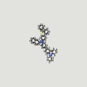 c1ccc(-n2c3ccccc3c3cc(-c4ccc(N(c5ccc(-c6cccc7c6sc6ccccc67)cc5)c5ccc6ccccc6c5)cc4)ccc32)cc1